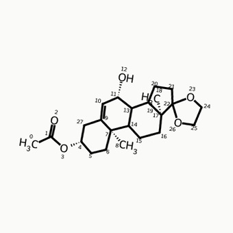 CC(=O)O[C@H]1CC[C@@]2(C)C(=C[C@H](O)C3C2CC[C@@]2(C)C3CCC23OCCO3)C1